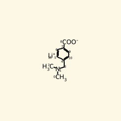 CN(C)Cc1ccc(C(=O)[O-])cc1.[Li+]